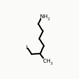 CC(CI)CCCCN